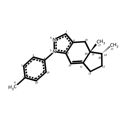 Cc1ccc(-n2ncc3c2C=C2CC[C@@H](C)[C@@]2(C)C3)cc1